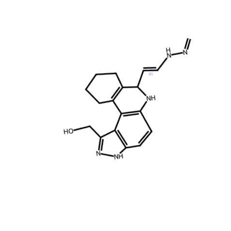 C=NN/C=C/C1Nc2ccc3[nH]nc(CO)c3c2C2=C1CCCC2